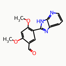 COc1cc(OC)c(-c2nc3cccnc3[nH]2)cc1C=O